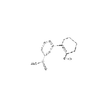 CO[N+](=O)c1cccc(C2=C(C=O)CCCC2)c1